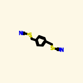 N#CSCc1ccc(CSC#N)cc1